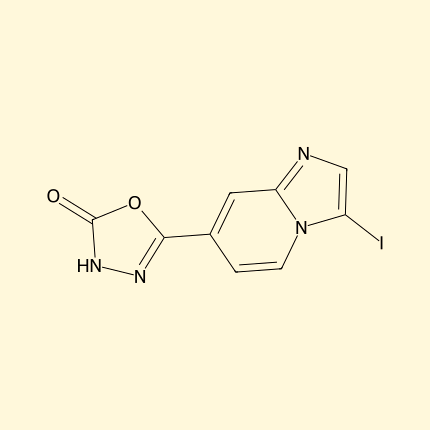 O=c1[nH]nc(-c2ccn3c(I)cnc3c2)o1